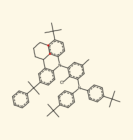 Cc1cc(N(c2ccc(C(C)(C)C)cc2)c2ccc(C(C)(C)C)cc2)c(Cl)c(N(c2ccc(C(C)(C)C)cc2)c2ccc(C(C)(C)c3ccccc3)cc2C2CCCCC2)c1